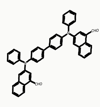 O=Cc1cc(N(c2ccccc2)c2ccc(-c3ccc(N(c4ccccc4)c4cc(C=O)c5ccccc5c4)cc3)cc2)cc2ccccc12